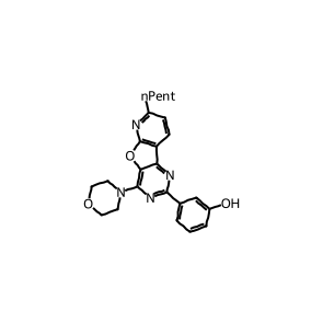 CCCCCc1ccc2c(n1)oc1c(N3CCOCC3)nc(-c3cccc(O)c3)nc12